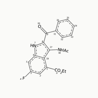 CCOC(=O)c1cc(F)cc2[nH]c(C(=O)c3ccccc3)c(NC(C)=O)c12